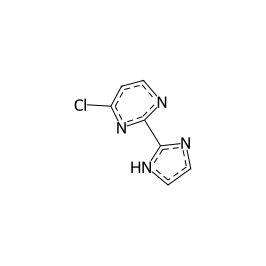 Clc1ccnc(-c2ncc[nH]2)n1